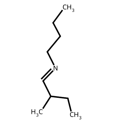 CCCC/N=C/C(C)CC